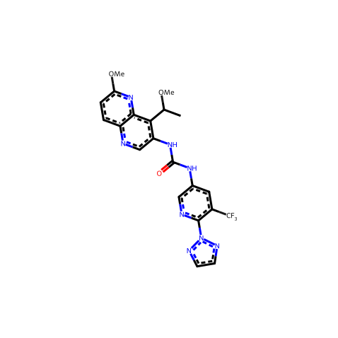 COc1ccc2ncc(NC(=O)Nc3cnc(-n4nccn4)c(C(F)(F)F)c3)c(C(C)OC)c2n1